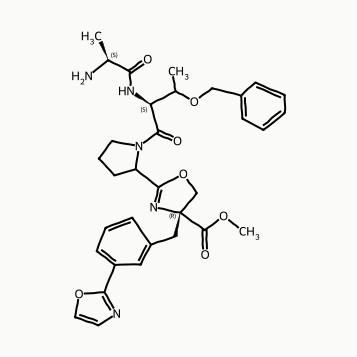 COC(=O)[C@@]1(Cc2cccc(-c3ncco3)c2)COC(C2CCCN2C(=O)[C@@H](NC(=O)[C@H](C)N)C(C)OCc2ccccc2)=N1